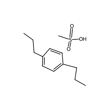 CCCc1ccc(CCC)cc1.CS(=O)(=O)O